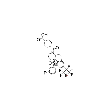 O=C(O)C1CCC(C(=O)N2CCCC3(S(=O)(=O)c4cccc(F)c4)c4ccc(C(F)(C(F)(F)F)C(F)(F)F)cc4CCC23)CC1